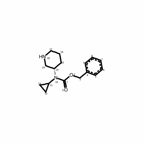 O=C(OCc1ccccc1)N(C1CC1)[C@H]1CCCNC1